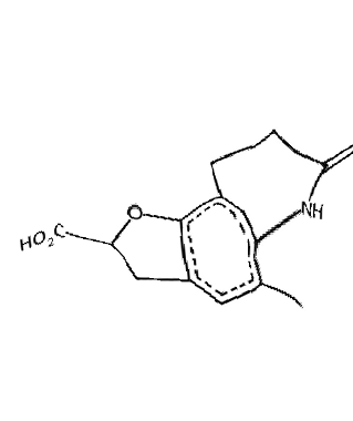 Cc1cc2c(c3c1NC(=O)CC3)OC(C(=O)O)C2